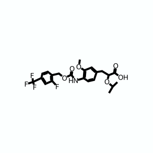 COc1cc(CC(OC(C)C)C(=O)O)ccc1NC(=O)OCc1ccc(C(F)(F)F)cc1F